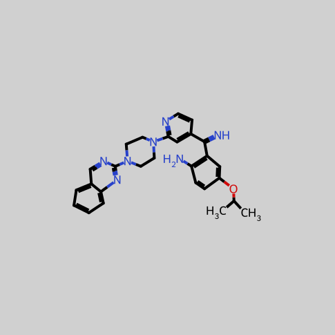 CC(C)Oc1ccc(N)c(C(=N)c2ccnc(N3CCN(c4ncc5ccccc5n4)CC3)c2)c1